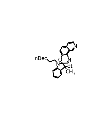 CCCCCCCCCCCCN1c2ccccc2C(C)(CC)C12C=Nc1c(ccc3ccncc13)O2